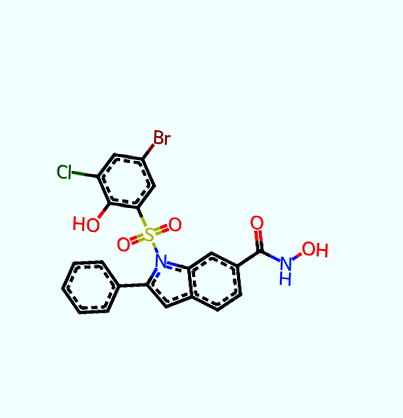 O=C(NO)c1ccc2cc(-c3ccccc3)n(S(=O)(=O)c3cc(Br)cc(Cl)c3O)c2c1